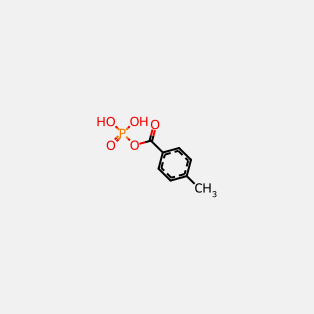 Cc1ccc(C(=O)OP(=O)(O)O)cc1